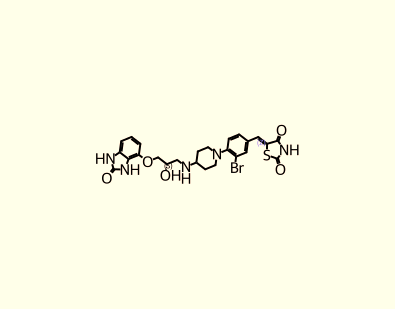 O=C1NC(=O)/C(=C/c2ccc(N3CCC(NC[C@H](O)COc4cccc5[nH]c(=O)[nH]c45)CC3)c(Br)c2)S1